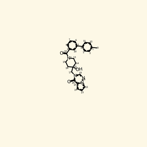 Cc1ccc(-c2cccc(C(=O)N3CCC(O)(Cn4cnn5cccc5c4=O)CC3)c2)cc1